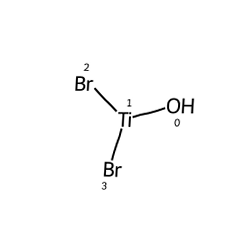 [OH][Ti]([Br])[Br]